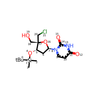 CC(C)(C)[Si](C)(C)O[C@H]1C[C@H](n2ccc(=O)[nH]c2=O)O[C@@]1(CO)CCl